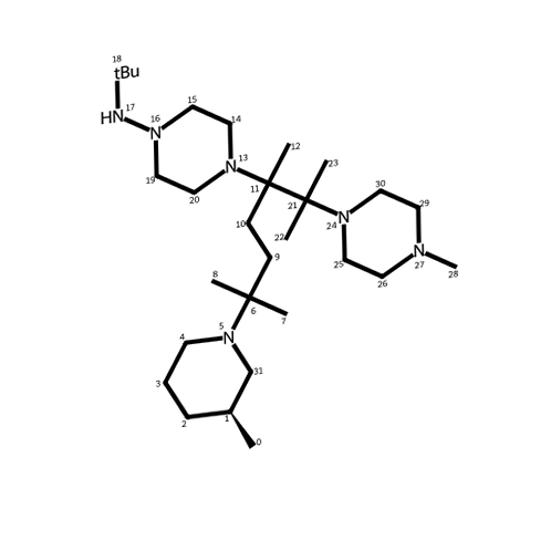 C[C@H]1CCCN(C(C)(C)CCC(C)(N2CCN(NC(C)(C)C)CC2)C(C)(C)N2CCN(C)CC2)C1